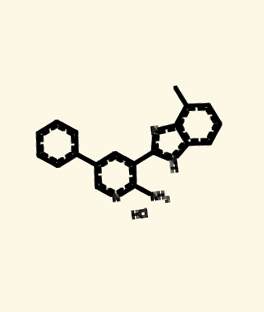 Cc1cccc2[nH]c(-c3cc(-c4ccccc4)cnc3N)nc12.Cl